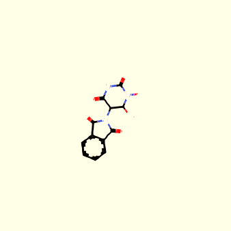 O=C1NC(=O)N(O)C(O)C1N1C(=O)c2ccccc2C1=O